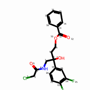 O=C(CCl)NCC(O)(CCOC(=O)c1ccccc1)c1ccc(F)c(F)c1